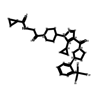 O=C(NCC(=O)N1CCC(n2ncc(C(=O)N3CC[C@@H](c4ccccc4C(F)(F)F)C3)c2C2CC2)CC1)C1CC1